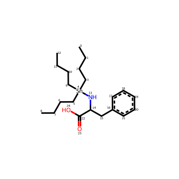 CCC[CH2][Sn]([CH2]CCC)([CH2]CCC)[NH]C(Cc1ccccc1)C(=O)O